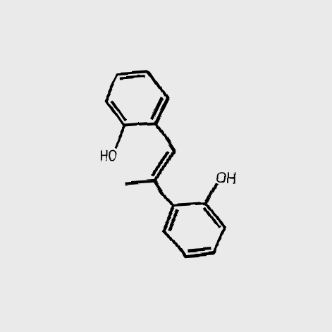 C/C(=C\c1ccccc1O)c1ccccc1O